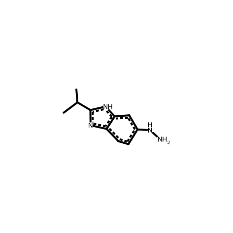 CC(C)c1nc2ccc(NN)cc2[nH]1